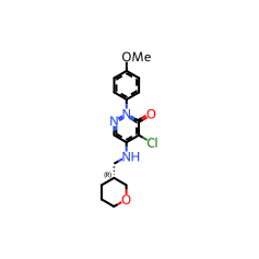 COc1ccc(-n2ncc(NC[C@H]3CCCOC3)c(Cl)c2=O)cc1